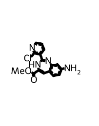 COC(=O)C1=Cc2ccc(N)cc2N=C(c2cccnc2Cl)N1